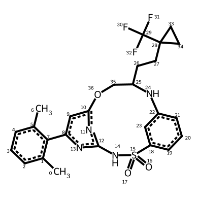 Cc1cccc(C)c1-c1cc2nc(n1)NS(=O)(=O)c1cccc(c1)NC(CCC1(C(F)(F)F)CC1)CO2